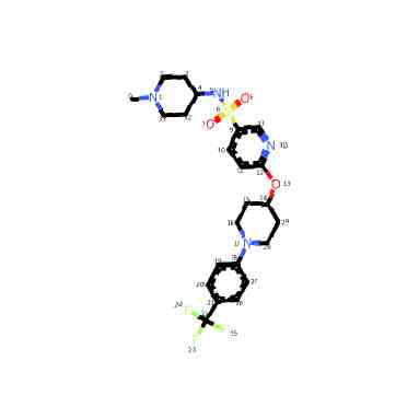 CN1CCC(NS(=O)(=O)c2ccc(OC3CCN(c4ccc(C(F)(F)F)cc4)CC3)nc2)CC1